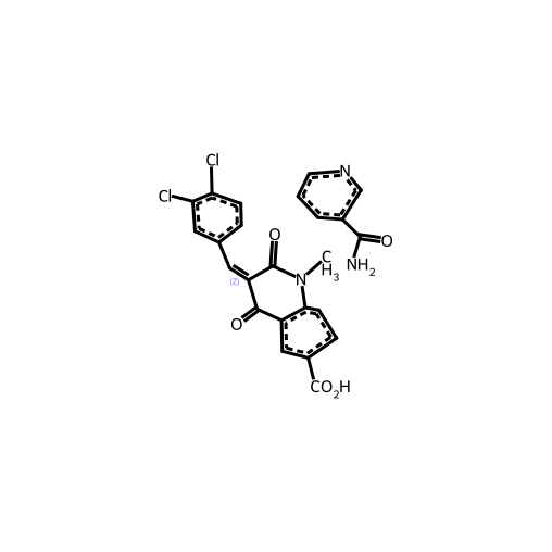 CN1C(=O)/C(=C\c2ccc(Cl)c(Cl)c2)C(=O)c2cc(C(=O)O)ccc21.NC(=O)c1cccnc1